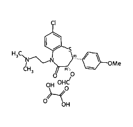 COc1ccc([C@H]2Sc3cc(Cl)ccc3N(CCN(C)C)C(=O)[C@H]2OC=O)cc1.O=C(O)C(=O)O